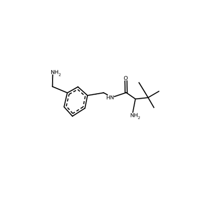 CC(C)(C)C(N)C(=O)NCc1cccc(CN)c1